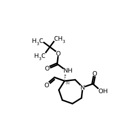 CC(C)(C)OC(=O)N[C@@]1(C=O)CCCCN(C(=O)O)C1